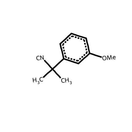 [C-]#[N+]C(C)(C)c1cccc(OC)c1